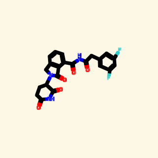 O=C(Cc1cc(F)cc(F)c1)NC(=O)c1cccc2c1C(=O)N(C1CCC(=O)NC1=O)C2